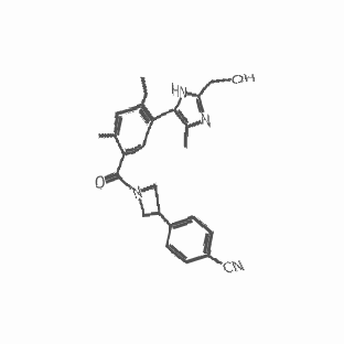 Cc1cc(C)c(-c2[nH]c(CO)nc2C)cc1C(=O)N1CC(c2ccc(C#N)cc2)C1